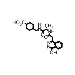 C[C@H](NC(=O)Cc1nnc(O)c2ccccc12)C(=O)NCC1CCC(C(=O)O)CC1